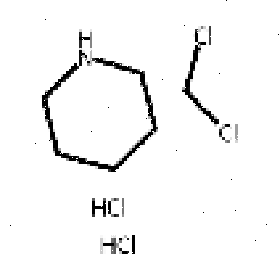 C1CCNCC1.Cl.Cl.ClCCl